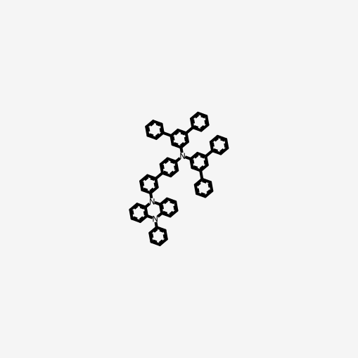 c1ccc(-c2cc(-c3ccccc3)cc(N(c3ccc(-c4cccc(N5c6ccccc6N(c6ccccc6)c6ccccc65)c4)cc3)c3cc(-c4ccccc4)cc(-c4ccccc4)c3)c2)cc1